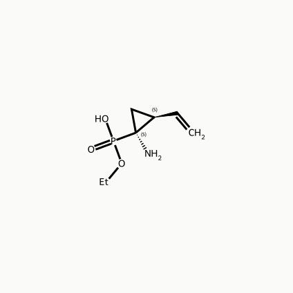 C=C[C@@H]1C[C@]1(N)P(=O)(O)OCC